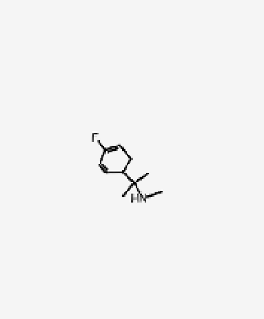 CNC(C)(C)C1C=CC(F)=CC1